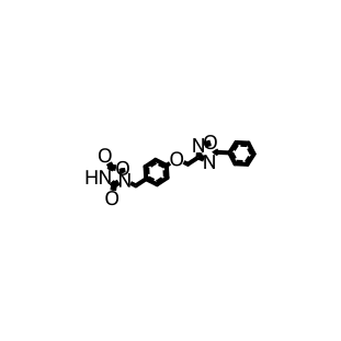 O=c1[nH]c(=O)n(Cc2ccc(OCc3noc(-c4ccccc4)n3)cc2)o1